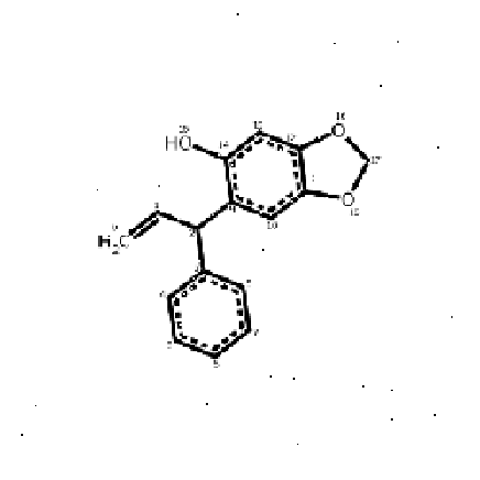 C=CC(c1ccccc1)c1cc2c(cc1O)OCO2